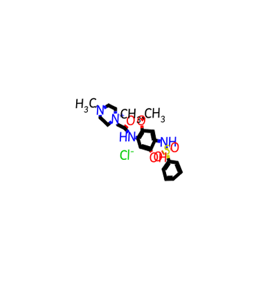 COc1cc(NS(=O)(=O)c2ccccc2)c(O)cc1NC(=O)C[N+]1(C)CCN(C)CC1.[Cl-]